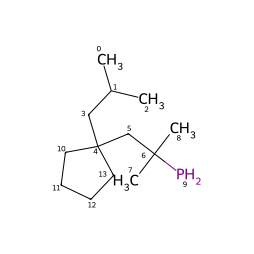 CC(C)CC1(CC(C)(C)P)CCCC1